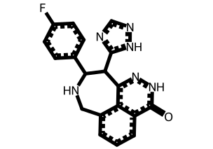 O=c1[nH]nc2c3c(cccc13)CNC(c1ccc(F)cc1)C2c1ncn[nH]1